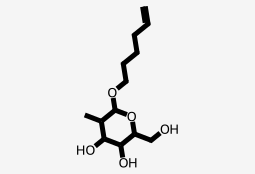 C=CCCCCOC1OC(CO)C(O)C(O)C1C